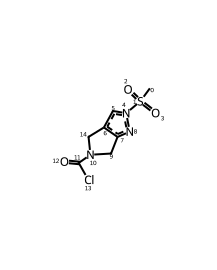 CS(=O)(=O)n1cc2c(n1)CN(C(=O)Cl)C2